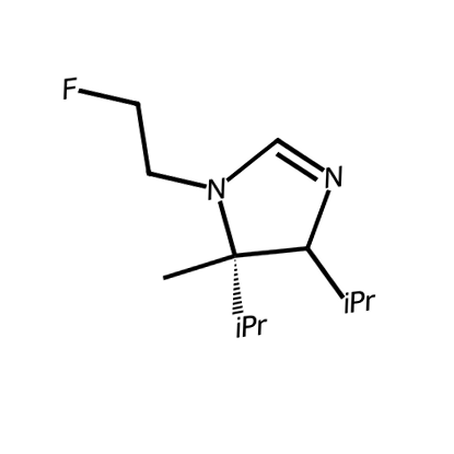 CC(C)C1N=CN(CCF)[C@@]1(C)C(C)C